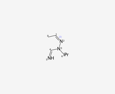 C/C=N\N(C=N)C(C)C